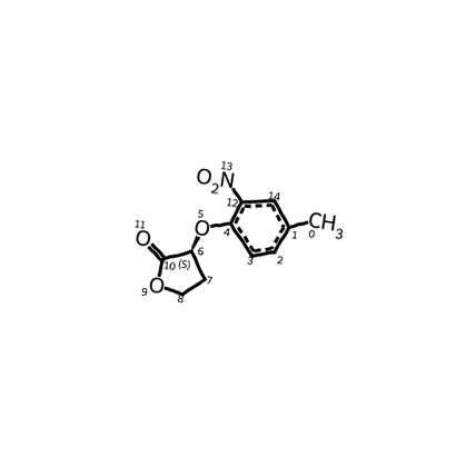 Cc1ccc(O[C@H]2CCOC2=O)c([N+](=O)[O-])c1